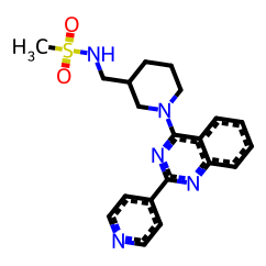 CS(=O)(=O)NCC1CCCN(c2nc(-c3ccncc3)nc3ccccc23)C1